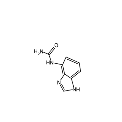 NC(=O)Nc1cccc2[nH]cnc12